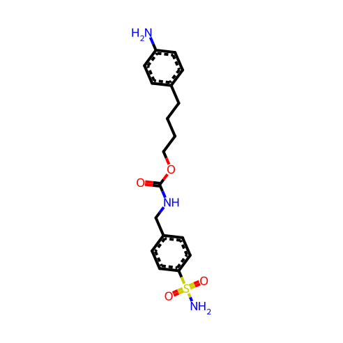 Nc1ccc(CCCCOC(=O)NCc2ccc(S(N)(=O)=O)cc2)cc1